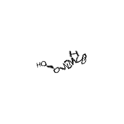 OCCOCCN1CCN(NCc2ccco2)CC1